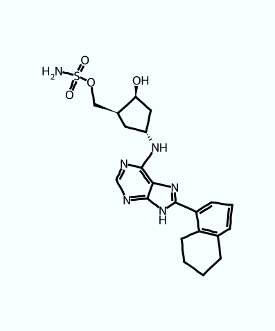 NS(=O)(=O)OC[C@@H]1C[C@@H](Nc2ncnc3[nH]c(-c4cccc5c4CCCC5)nc23)C[C@@H]1O